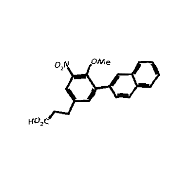 COc1c(-c2ccc3ccccc3c2)cc(CCC(=O)O)cc1[N+](=O)[O-]